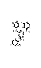 Cc1cccc(Nc2nc(Nc3ccccc3)nc(Nc3ccccc3C)n2)c1